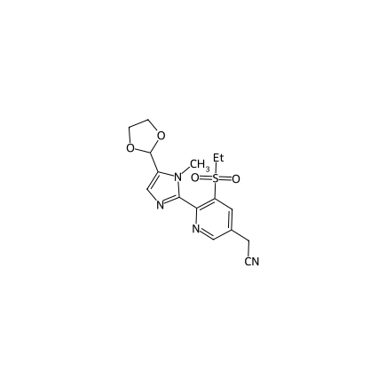 CCS(=O)(=O)c1cc(CC#N)cnc1-c1ncc(C2OCCO2)n1C